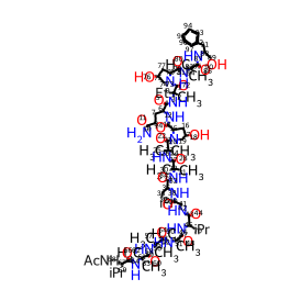 CCC(C)(NC(=O)C(CCC(N)=O)NC(=O)C1CC(O)CN1C(=O)C(C)(C)NC(=O)C(C)(C)NC(=O)C(CC(C)C)NC(=O)CNC(=O)C(NC(=O)C(C)(C)NC(=O)C(C)(C)NC(=O)C(C)(C)NC(=O)C(NC(C)=O)C(C)C)C(C)C)C(=O)N1CC(O)CC1C(=O)NC(C)(C)C(=O)NC(CO)Cc1ccccc1